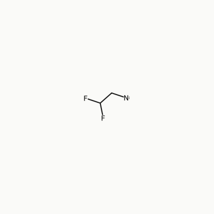 [N]CC(F)F